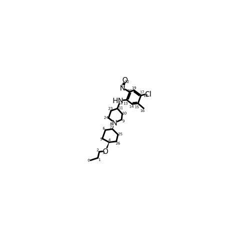 CCCO[C@H]1CC[C@H](N2CCC(Nc3cc(C)c(Cl)cc3N=O)CC2)CC1